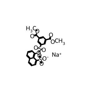 COC(=O)c1cc(C(=O)OC)cc(S(=O)(=O)Oc2cccc3cccc(S(=O)(=O)[O-])c23)c1.[Na+]